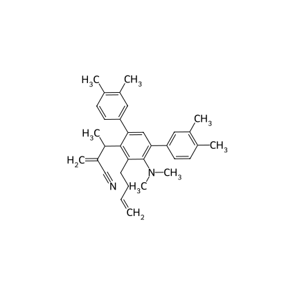 C=CCCc1c(C(C)C(=C)C#N)c(-c2ccc(C)c(C)c2)cc(-c2ccc(C)c(C)c2)c1N(C)C